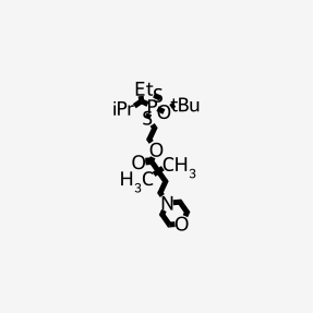 CCC(C(C)C)P(=S)(OC(C)(C)C)SCCOC(=O)C(C)(C)CCN1CCOCC1